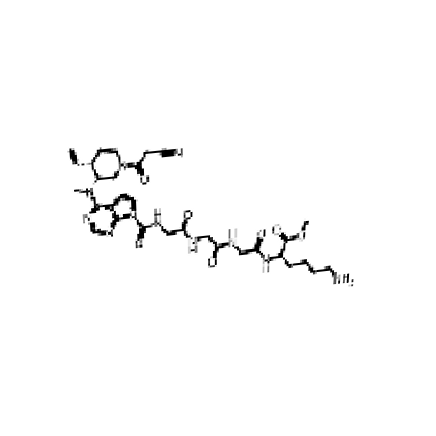 C=C[C@@H]1CCN(C(=O)CC#N)C[C@@H]1N(C)c1ncnc2c1ccn2C(=O)NCC(=O)NCC(=O)NCC(=O)N[C@H](CCCCN)C(=O)OC